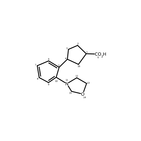 O=C(O)C1CCC(c2ccccc2N2CCOC2)C1